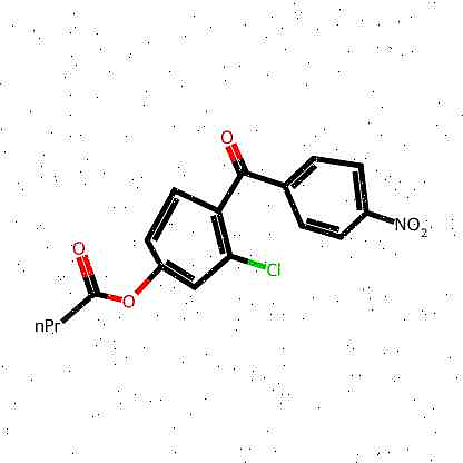 CCCC(=O)Oc1ccc(C(=O)c2ccc([N+](=O)[O-])cc2)c(Cl)c1